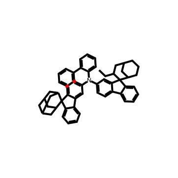 CCC1CC2CCCC(C2)C12c1ccccc1-c1ccc(N(c3ccc4c(c3)-c3ccccc3C43C4CC5CC(C4)CC3C5)c3ccccc3-c3ccccc3)cc12